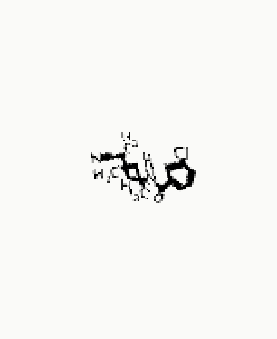 CC(C#N)C1(C)CC(C)(NC(=O)c2cccc(Cl)c2)C1